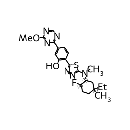 CC[C@@]1(C)CC[C@@H](F)[C@@H](N(C)c2nnc(-c3ccc(-c4ncnc(OC)n4)cc3O)s2)C1